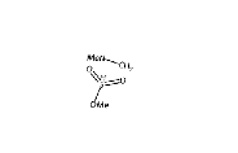 CNC.CO[SH](=O)=O